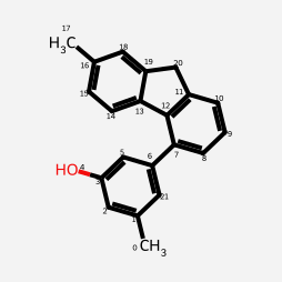 Cc1cc(O)cc(-c2cccc3c2-c2ccc(C)cc2C3)c1